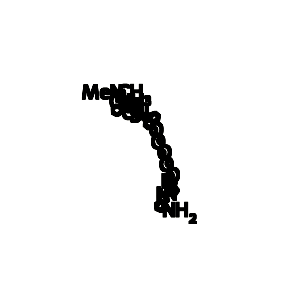 CN[C@@H](C)C(=O)N[C@H](C(=O)N1CCC[C@H]1c1nc(-c2ccc(OCCOCCOCCOCCOc3cc4ccn(-c5cc6c(N)cccc6cn5)c4cn3)c3ccccc23)cs1)C1CCCCC1